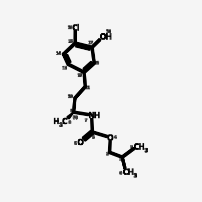 CC(C)COC(=O)N[C@@H](C)CCc1ccc(Cl)c(O)c1